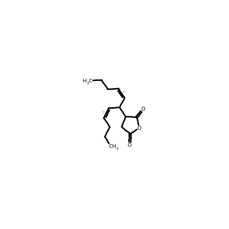 CCC/C=C\C(/C=C\CCC)C1CC(=O)OC1=O